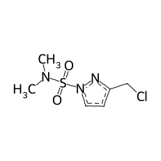 CN(C)S(=O)(=O)n1ccc(CCl)n1